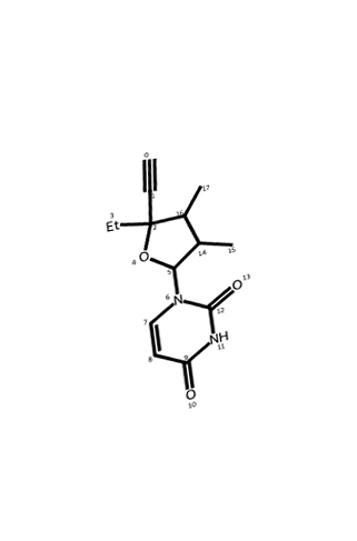 C#CC1(CC)OC(n2ccc(=O)[nH]c2=O)C(C)C1C